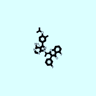 Cc1cc(-c2nn(C(C)c3oc4cccc(F)c4c(=O)c3-c3cccc(F)c3)c3ncnc(N)c23)ccc1OC(C)C